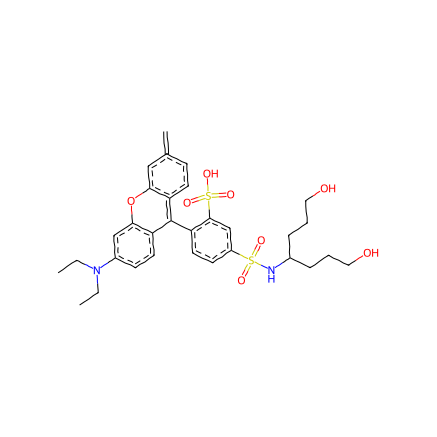 C=c1ccc2c(c1)Oc1cc(N(CC)CC)ccc1C=2c1ccc(S(=O)(=O)NC(CCCO)CCCO)cc1S(=O)(=O)O